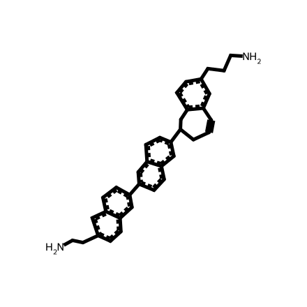 NCCCc1ccc2c(c1)C#CCC(c1ccc3cc(-c4ccc5cc(CCN)ccc5c4)ccc3c1)C2